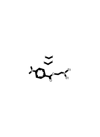 CCN(CC)CCOC(=O)c1ccc(N(C)C)cc1.ICI.ICI